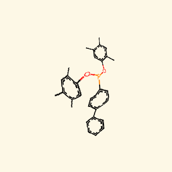 Cc1cc(C)c(OP(Oc2cc(C)c(C)cc2C)c2ccc(-c3ccccc3)cc2)cc1C